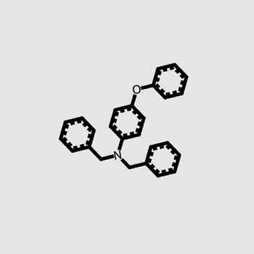 c1ccc(CN(Cc2ccccc2)c2ccc(Oc3ccccc3)cc2)cc1